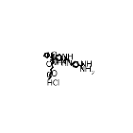 CCOC(=O)CCC(=O)NC(C)(C(=O)N1CCCC1)c1ccc2[nH]c(CNc3ccc(C(=N)N)cc3)nc2c1C.Cl